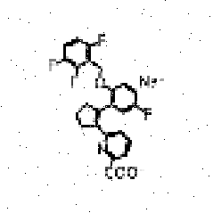 O=C([O-])c1cccc(C2=C(c3cc(F)ccc3OCc3c(F)ccc(F)c3F)CCC2)n1.[Na+]